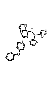 c1ccc(Oc2ccc(-c3cn4ccnc4c(NC(c4ccco4)c4ccco4)n3)cc2)cc1